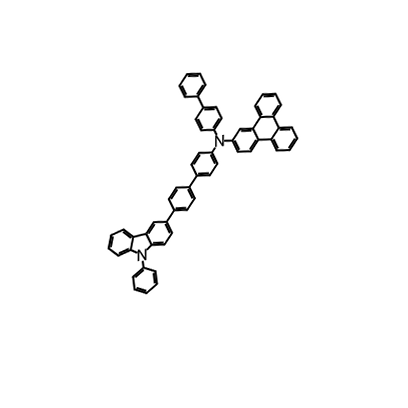 c1ccc(-c2ccc(N(c3ccc(-c4ccc(-c5ccc6c(c5)c5ccccc5n6-c5ccccc5)cc4)cc3)c3ccc4c5ccccc5c5ccccc5c4c3)cc2)cc1